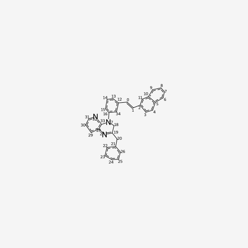 C(=Cc1ccc2ccccc2c1)c1cccc(N2CC(Cc3ccccc3)=Nc3cccnc32)c1